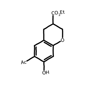 CCOC(=O)C1COc2cc(O)c(C(C)=O)cc2C1